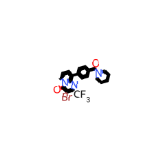 O=C(c1ccc(-c2cccn3c(=O)c(Br)c(C(F)(F)F)nc23)cc1)N1CCCCC1